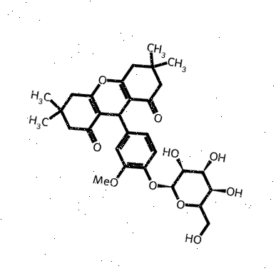 COc1cc(C2C3=C(CC(C)(C)CC3=O)OC3=C2C(=O)CC(C)(C)C3)ccc1O[C@@H]1OC(CO)[C@H](O)[C@H](O)[C@@H]1O